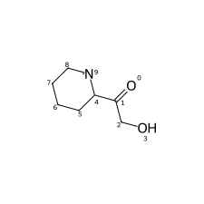 O=C(CO)C1CCCC[N]1